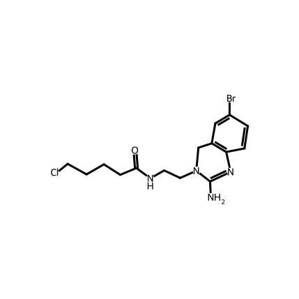 NC1=Nc2ccc(Br)cc2CN1CCNC(=O)CCCCCl